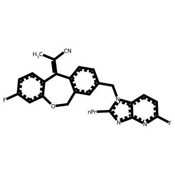 CCCc1nc2nc(F)ccc2n1Cc1ccc2c(c1)COc1cc(F)ccc1C2=C(C)C#N